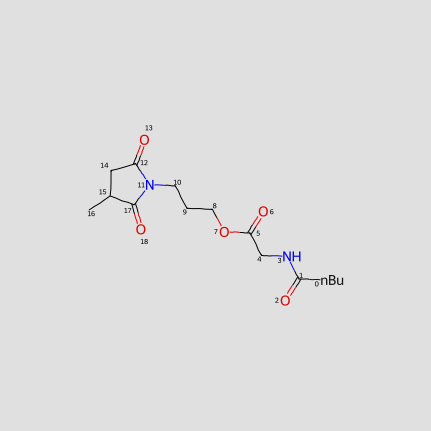 CCCCC(=O)NCC(=O)OCCCN1C(=O)CC(C)C1=O